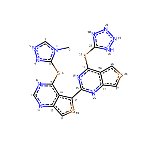 Cn1cnnc1Sc1ncnc2csc(-c3nc(Sc4nnn[nH]4)c4cscc4n3)c12